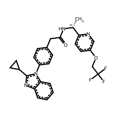 C[C@@H](NC(=O)Cc1ccc(-n2c(C3CC3)nc3ccccc32)cc1)c1ccc(OCC(F)(F)F)cn1